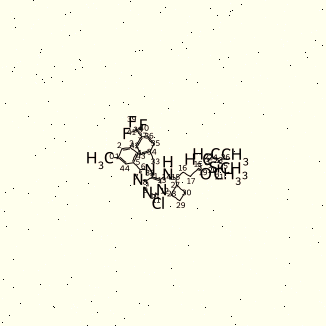 Cc1cccc(-c2nc3nc(Cl)nc(NC(CCCO[Si](C)(C)C(C)(C)C)C4CCC4)c3n2Cc2ccc(C(F)(F)F)cc2)c1